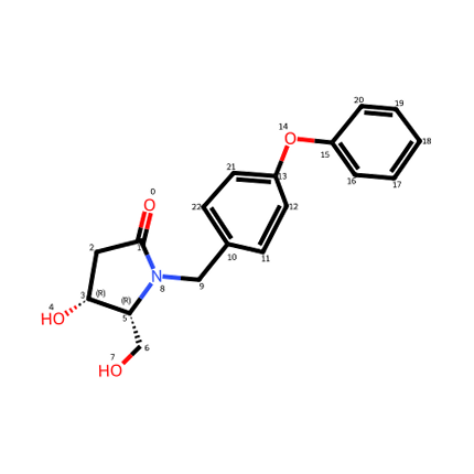 O=C1C[C@@H](O)[C@@H](CO)N1Cc1ccc(Oc2ccccc2)cc1